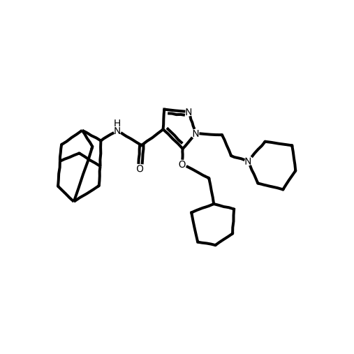 O=C(NC1C2CC3CC(C2)CC1C3)c1cnn(CCN2CCCCC2)c1OCC1CCCCC1